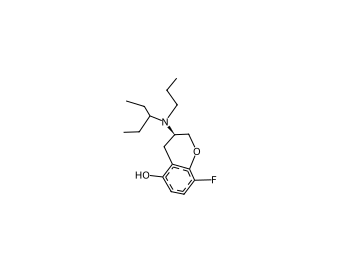 CCCN(C(CC)CC)[C@H]1COc2c(F)ccc(O)c2C1